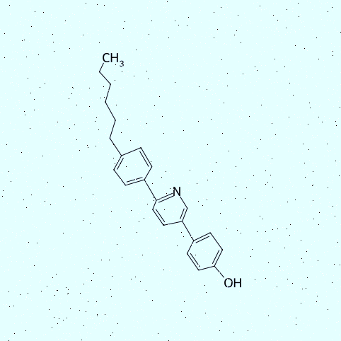 CCCCCCc1ccc(-c2ccc(-c3ccc(O)cc3)cn2)cc1